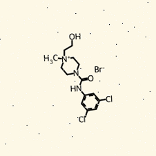 C[N+]1(CCO)CCN(C(=O)Nc2cc(Cl)cc(Cl)c2)CC1.[Br-]